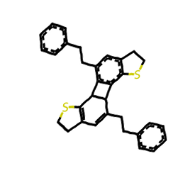 C1=C(CCc2ccccc2)C2c3c4c(cc(CCc5ccccc5)c3C2C2=C1CCS2)CCS4